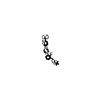 COC(=O)c1ccc(N2CCN(c3cccc(CO[Si](C)(C)C(C)(C)C)c3F)CC2)cn1